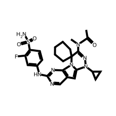 CC(=O)N(C)C1=NN(C2CC2)c2cc3cnc(Nc4ccc(S(N)(=O)=O)c(F)c4)nc3n2C12CCCCC2